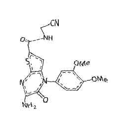 COc1ccc(-n2c(=O)c(N)nc3sc(C(=O)NCC#N)cc32)cc1OC